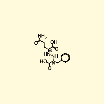 NC(=O)CC[C@H](NN[C@@H](Cc1ccccc1)C(=O)O)C(=O)O